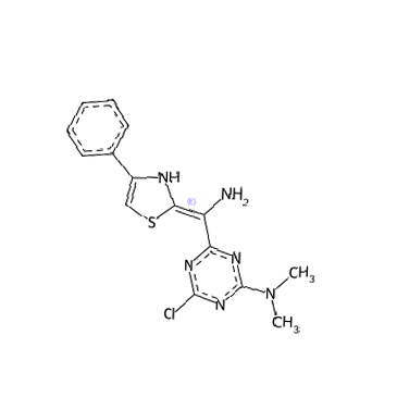 CN(C)c1nc(Cl)nc(/C(N)=C2/NC(c3ccccc3)=CS2)n1